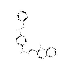 CN(/N=C/c1ccc2ccccc2[n+]1C)c1ccc(NCc2ccccc2)cc1